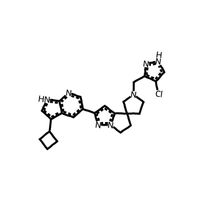 Clc1c[nH]nc1CN1CCC2(CCn3nc(-c4cnc5[nH]cc(C6CCC6)c5c4)cc32)C1